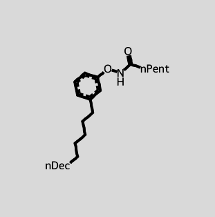 CCCCCCCCCCCCCCCc1cccc(ONC(=O)CCCCC)c1